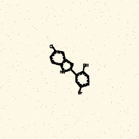 Oc1ccc(Br)cc1-c1cc2cc(Cl)ccc2[nH]1